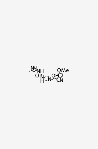 COc1ccc2nccc(C(O)CN3CCC(NCC(=O)Nc4cc(C)nn4C)CC3)c2c1